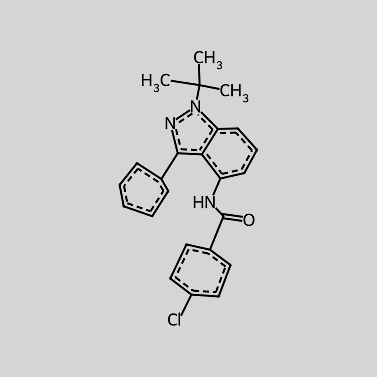 CC(C)(C)n1nc(-c2ccccc2)c2c(NC(=O)c3ccc(Cl)cc3)cccc21